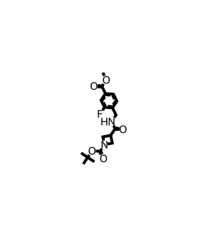 COC(=O)c1ccc(CNC(=O)C2CN(C(=O)OC(C)(C)C)C2)c(F)c1